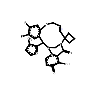 Cc1ccsc1C1c2cc(F)c(F)cc2OC/C=C/C2(CCC2)N2CN1n1ccc(=O)c(O)c1C2=O